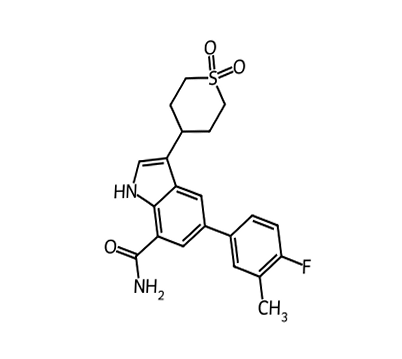 Cc1cc(-c2cc(C(N)=O)c3[nH]cc(C4CCS(=O)(=O)CC4)c3c2)ccc1F